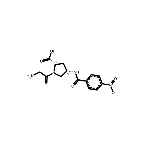 NCC(=O)N1C[C@@H](NC(=O)c2ccc([N+](=O)[O-])cc2)C[C@H]1C(=O)O